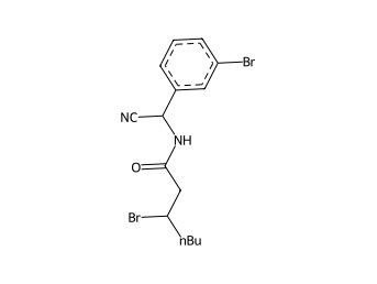 CCCCC(Br)CC(=O)NC(C#N)c1cccc(Br)c1